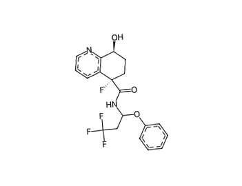 O=C(NC(CC(F)(F)F)Oc1ccccc1)[C@]1(F)CC[C@H](O)c2ncccc21